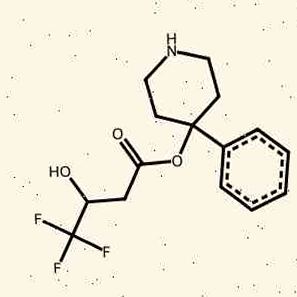 O=C(CC(O)C(F)(F)F)OC1(c2ccccc2)CCNCC1